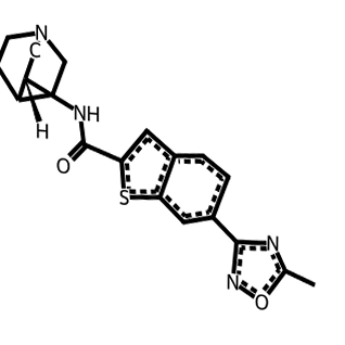 Cc1nc(-c2ccc3cc(C(=O)N[C@H]4CN5CCC4CC5)sc3c2)no1